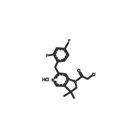 CC1(C)CN(C(=O)CCl)c2cc(Cc3ccc(F)cc3F)ncc21.Cl